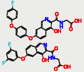 O=C(O)CNC(=O)c1ncc2cc(Oc3ccc(Oc4ccc(F)cc4)cc3)ccc2c1O.O=C(O)CNC(=O)c1ncc2ccc(Oc3cc(F)cc(F)c3)cc2c1O